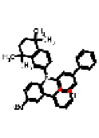 CC(C)(C)c1ccc(N(c2cc(Cl)cc(-c3ccccc3)c2)c2ccc3c(c2)C(C)(C)CCC3(C)C)c(-c2ccccc2)c1